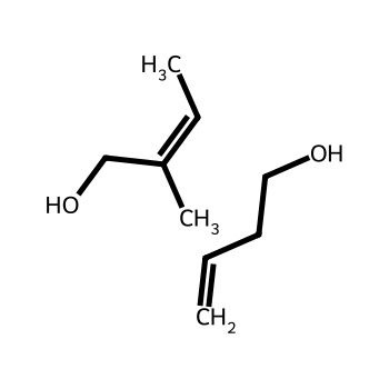 C=CCCO.CC=C(C)CO